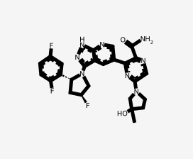 CC1(O)CCN(c2cnc(C(N)=O)c(-c3cnc4[nH]nc(N5C[C@@H](F)C[C@@H]5c5cc(F)ccc5F)c4c3)n2)C1